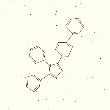 c1ccc(-c2ccc(-c3nnc(-c4ccccc4)n3-c3ccccc3)cc2)cc1